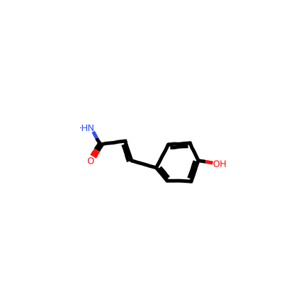 [NH]C(=O)C=Cc1ccc(O)cc1